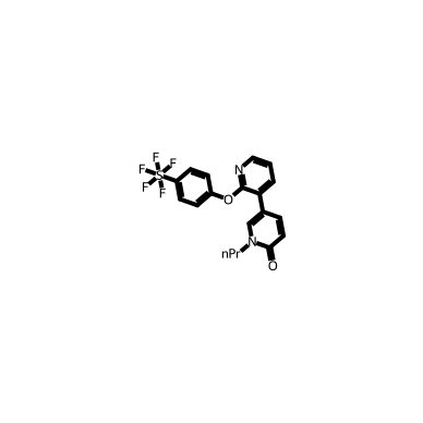 CCCn1cc(-c2cccnc2Oc2ccc(S(F)(F)(F)(F)F)cc2)ccc1=O